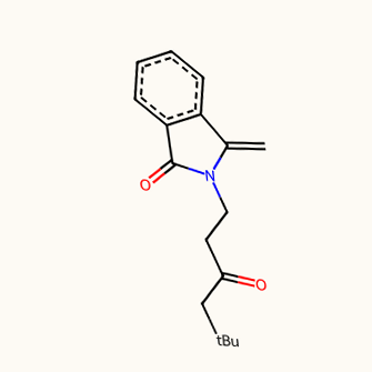 C=C1c2ccccc2C(=O)N1CCC(=O)CC(C)(C)C